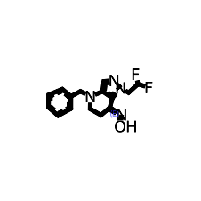 O/N=C1\CCN(Cc2ccccc2)c2cnn(CC(F)F)c21